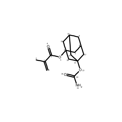 C=C(C)C(=O)OC12CC3CC(CC(OC(N)=O)(C3)C1)C2